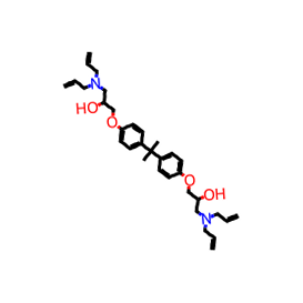 C=CCN(CC=C)CC(O)COc1ccc(C(C)(C)c2ccc(OCC(O)CN(CC=C)CC=C)cc2)cc1